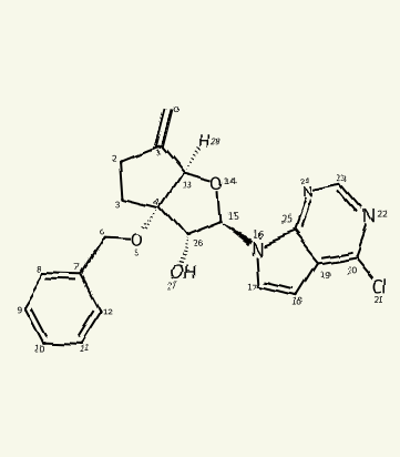 C=C1CC[C@@]2(OCc3ccccc3)[C@@H]1O[C@@H](n1ccc3c(Cl)ncnc31)[C@@H]2O